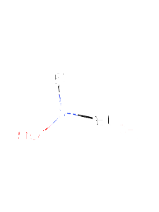 CCN(O)CC.O